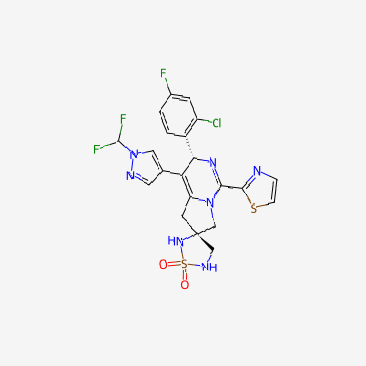 O=S1(=O)NC[C@]2(CC3=C(c4cnn(C(F)F)c4)[C@H](c4ccc(F)cc4Cl)N=C(c4nccs4)N3C2)N1